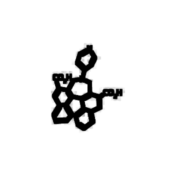 O=C(O)c1cc2ccccc2c2c1CN(c1ccncc1)Cc1c(C(=O)O)cc3ccccc3c1-2